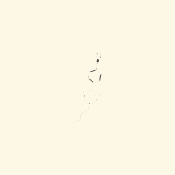 CCCC[C@H]1CO[C@H](c2ccc(C#N)cc2)OC1